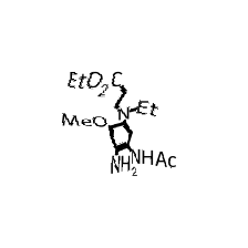 CCOC(=O)CCN(CC)c1cc(NC(C)=O)c(N)cc1OC